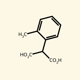 Cc1ccccc1C(C(=O)O)C(=O)O